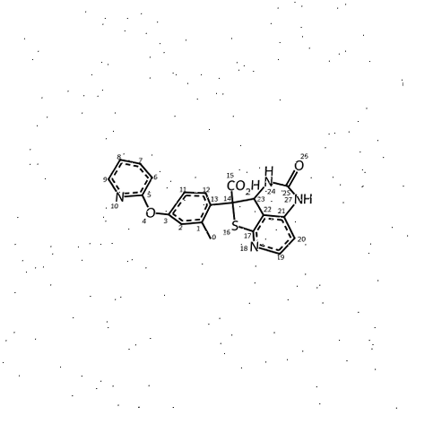 Cc1cc(Oc2ccccn2)ccc1C1(C(=O)O)Sc2nccc3c2C1NC(=O)N3